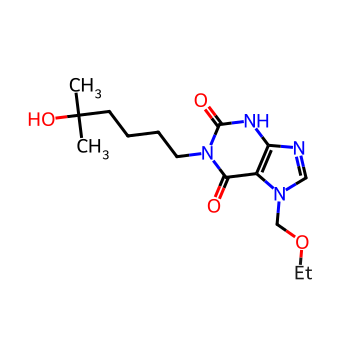 CCOCn1cnc2[nH]c(=O)n(CCCCC(C)(C)O)c(=O)c21